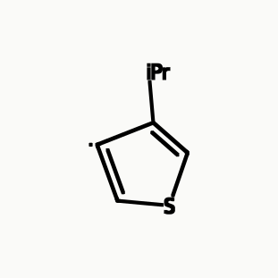 CC(C)c1[c]csc1